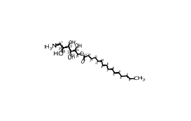 CCCCCCCCCCCCCCCC(=O)OCC(O)C(O)C(O)C(O)CN